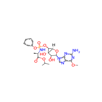 COc1nc(N)nc2c1ncn2[C@@H]1O[C@@H]2[C@H](OP(=O)(N[C@H](C)C(=O)OC(C)C)Oc3ccccc3)[C@]2(O)[C@@H]1O